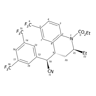 CCOC(=O)N1c2ccc(C(F)(F)F)cc2[C@@H]([C@@H](C#N)c2cc(C(F)(F)F)cc(C(F)(F)F)c2)C[C@@H]1CC